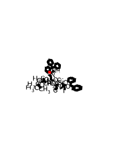 CC(C)(C)OC(=O)C(C)(C)ON=C(C(=O)NC1C(=O)N2CC(CI)(C(=O)OC(c3ccccc3)c3ccccc3)C[S+]([O-])[C@H]12)c1csc(NC(c2ccccc2)(c2ccccc2)c2ccccc2)n1